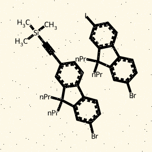 CCCC1(CCC)c2cc(Br)ccc2-c2ccc(C#C[Si](C)(C)C)cc21.CCCC1(CCC)c2cc(Br)ccc2-c2ccc(I)cc21